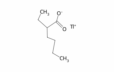 CCCCC(CC)C(=O)[O-].[Tl+]